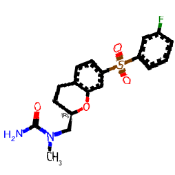 CN(C[C@H]1CCc2ccc(S(=O)(=O)c3cccc(F)c3)cc2O1)C(N)=O